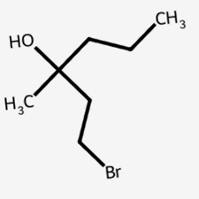 CCCC(C)(O)CCBr